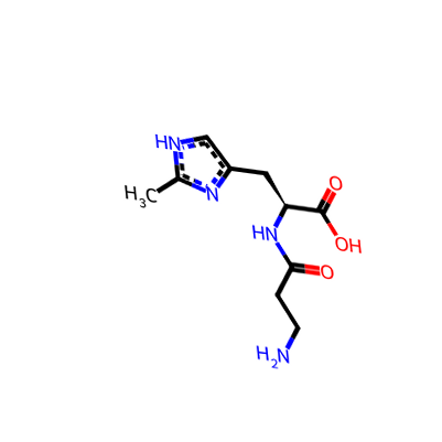 Cc1nc(C[C@H](NC(=O)CCN)C(=O)O)c[nH]1